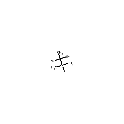 CC(C)C(C)(C#N)[Si](C)(C)F